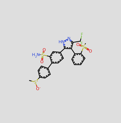 C[S+]([O-])c1ccc(-c2ccc(-c3[nH]nc(C(F)F)c3-c3ccccc3S(C)(=O)=O)cc2S(N)(=O)=O)cc1